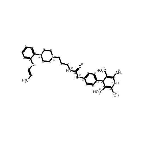 CC=COc1ccccc1N1CCN(CCCNC(=O)Nc2ccc(C3C(C(=O)O)=C(C)NC(C)=C3C(=O)O)cc2)CC1